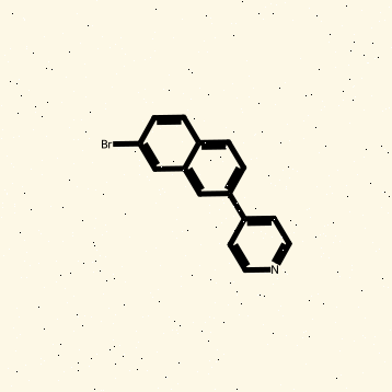 Brc1ccc2ccc(-c3ccncc3)cc2c1